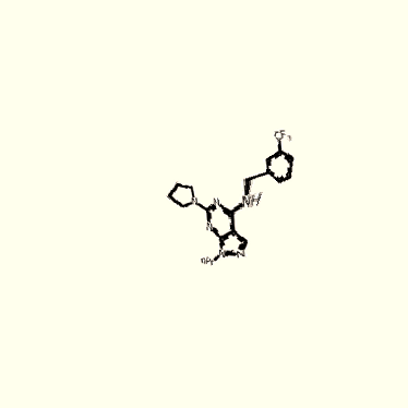 CCCn1ncc2c(NCc3cccc(C(F)(F)F)c3)nc(N3CCCC3)nc21